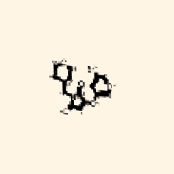 O=C1C=C(Oc2cncc(Br)c2)C(=O)N1CC1CCOCC1